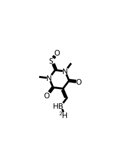 [2H]BC=C1C(=O)N(C)C(=S=O)N(C)C1=O